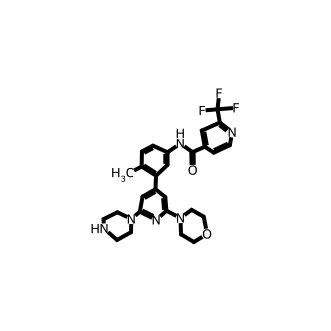 Cc1ccc(NC(=O)c2ccnc(C(F)(F)F)c2)cc1-c1cc(N2CCNCC2)nc(N2CCOCC2)c1